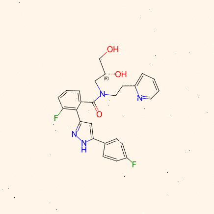 O=C(c1cccc(F)c1-c1cc(-c2ccc(F)cc2)[nH]n1)N(CCc1ccccn1)C[C@@H](O)CO